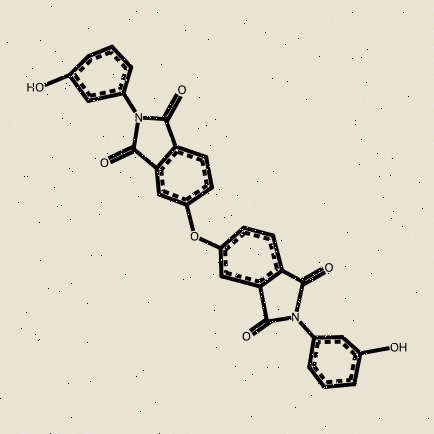 O=C1c2ccc(Oc3ccc4c(c3)C(=O)N(c3cccc(O)c3)C4=O)cc2C(=O)N1c1cccc(O)c1